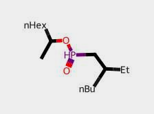 CCCCCCC(C)O[PH](=O)CC(CC)CCCC